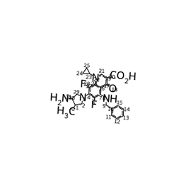 CC1CN(c2c(F)c(NCc3ccccc3)c3c(=O)c(C(=O)O)cn(C4CC4)c3c2F)CC1N